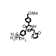 COCc1ccc(C(NC(=O)Cn2cnccc2=O)C(=O)Nc2ccc(S(C)(C)C)cc2)cc1